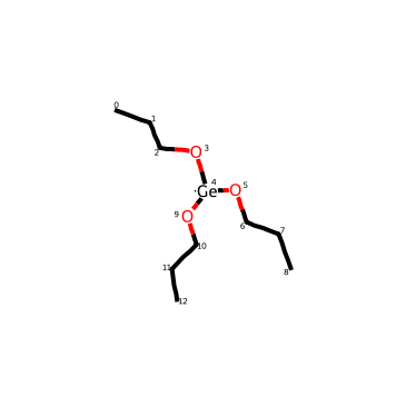 CCC[O][Ge]([O]CCC)[O]CCC